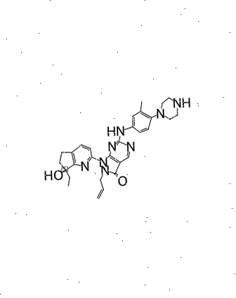 C=CCn1c(=O)c2cnc(Nc3ccc(N4CCNCC4)c(C)c3)nc2n1-c1ccc2c(n1)[C@](O)(CC)CC2